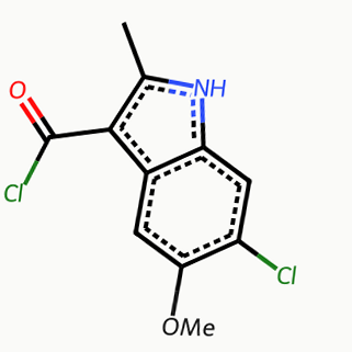 COc1cc2c(C(=O)Cl)c(C)[nH]c2cc1Cl